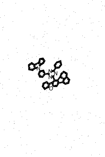 c1ccc(-c2nc(-c3cccc(-n4c5ccccc5c5ccccc54)c3)nc(-c3c4c(cc5oc6ccccc6c35)-c3cccc5cccc-4c35)n2)cc1